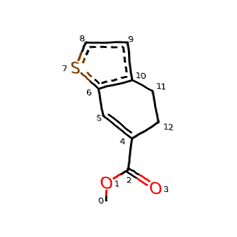 COC(=O)C1=Cc2sccc2CC1